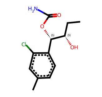 CC[C@H](O)[C@@H](OC(N)=O)c1ccc(C)cc1Cl